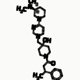 CC(CC(=O)N1CCC(O)(CN2C=CC(N3CCC[C@H](N(C)C)C3)=NC2)CC1)c1ccccc1